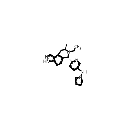 C[C@@H]1Cc2c(ccc3[nH]ncc23)[C@@H](c2ccc(Nn3cccc3)cn2)N1CC(F)(F)F